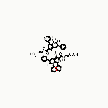 Cn1c(=O)c(-c2ccccc2)cc2c(O)c(C(=O)NCCC(=O)O)nc(-c3cccnc3)c21.O=C(O)CCNC(=O)c1nc(-c2cccnc2)c2c(cc(-c3ccccc3)c(=O)n2-c2ccccc2)c1O